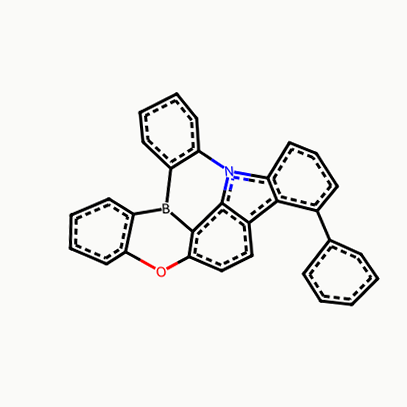 c1ccc(-c2cccc3c2c2ccc4c5c2n3-c2ccccc2B5c2ccccc2O4)cc1